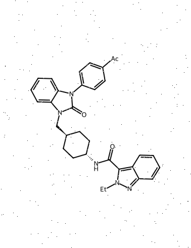 CCn1nc2ccccc2c1C(=O)N[C@H]1CC[C@H](Cn2c(=O)n(-c3ccc(C(C)=O)cc3)c3ccccc32)CC1